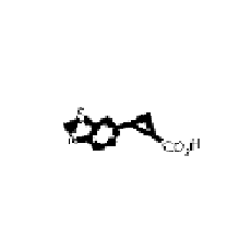 O=C(O)C1CC1c1ccc2ncsc2c1